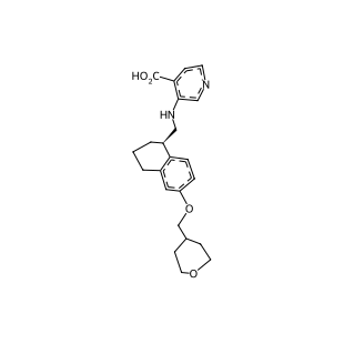 O=C(O)c1ccncc1NC[C@@H]1CCCc2cc(OCC3CCOCC3)ccc21